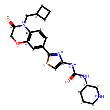 O=C(Nc1csc(-c2ccc3c(c2)OCC(=O)N3CC2CCC2)n1)N[C@@H]1CCCNC1